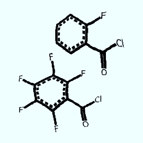 O=C(Cl)c1c(F)c(F)c(F)c(F)c1F.O=C(Cl)c1ccccc1F